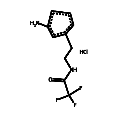 Cl.Nc1cccc(CCNC(=O)C(F)(F)F)c1